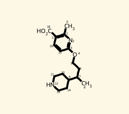 Cc1nc(OCCC(C)C2CCNCC2)ccc1C(=O)O